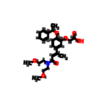 COCCN(CCOC)C(=O)/C=C(\C)c1ccc(OC(C)c2ccccc2)c(OCC(=O)O)c1